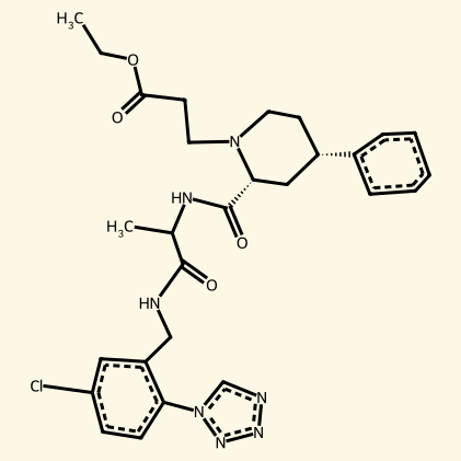 CCOC(=O)CCN1CC[C@H](c2ccccc2)C[C@@H]1C(=O)NC(C)C(=O)NCc1cc(Cl)ccc1-n1cnnn1